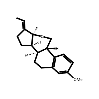 C/C=C1\CC[C@@H]2[C@@H]3CCc4cc(OC)ccc4[C@H]3CC[C@]12C